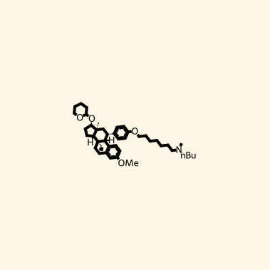 C=C[C@@]12CCc3cc(OC)ccc3[C@H]1[C@@H](c1ccc(OCCCCCCCN(C)CCCC)cc1)C[C@]1(C)[C@@H](OC3CCCCO3)CC[C@H]12